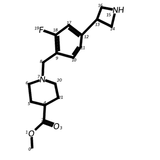 COC(=O)C1CCN(Cc2ccc(C3CNC3)cc2F)CC1